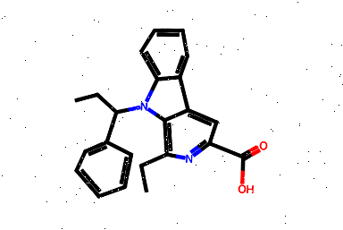 CCc1nc(C(=O)O)cc2c3ccccc3n(C(CC)c3ccccc3)c12